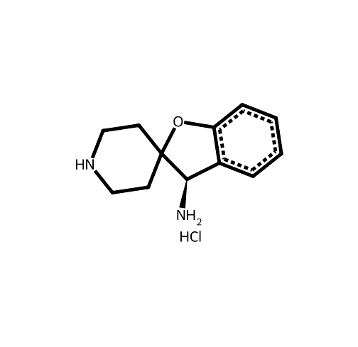 Cl.N[C@@H]1c2ccccc2OC12CCNCC2